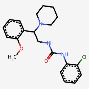 COc1ccccc1C(CNC(=O)Nc1ccccc1Cl)N1CCCCC1